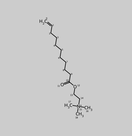 C=CCCCCCCCCC(=O)OCC[N+](C)(C)C